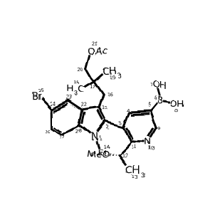 CCn1c(-c2cc(B(O)O)cnc2[C@H](C)OC)c(CC(C)(C)COC(C)=O)c2cc(Br)ccc21